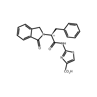 O=C(O)c1csc(NC(=O)[C@H](Cc2ccccc2)N2Cc3ccccc3C2=O)n1